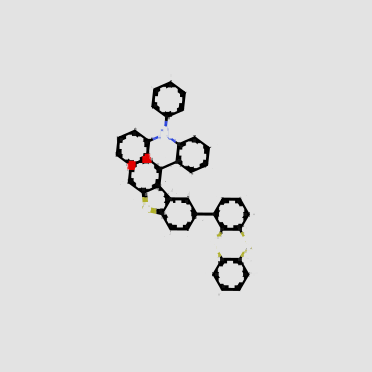 c1ccc(N(c2ccccc2)c2ccccc2-c2cccc3sc4ccc(-c5cccc6c5Sc5ccccc5S6)cc4c23)cc1